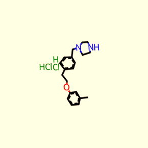 Cc1cccc(OCCc2ccc(CN3CCNCC3)cc2)c1.Cl.Cl